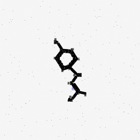 CC(=O)/C(C)=N/Nc1ccc(Br)cc1